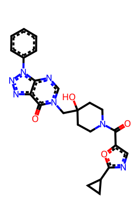 O=C(c1cnc(C2CC2)o1)N1CCC(O)(Cn2cnc3c(nnn3-c3ccccc3)c2=O)CC1